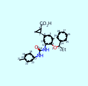 CC[C@@H](Oc1ccc([C@H]2C[C@H]2C(=O)O)cc1NC(=O)Nc1ccc(C)cc1)c1ccccc1